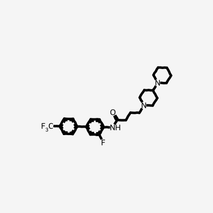 O=C(CCCN1CCC(N2CCCCC2)CC1)Nc1ccc(-c2ccc(C(F)(F)F)cc2)cc1F